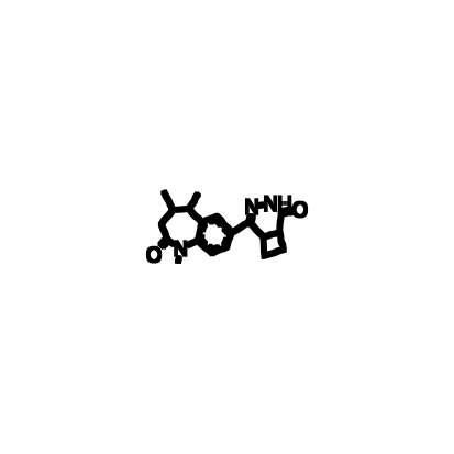 CC1CC(=O)N(C)c2ccc(C3=NNC(=O)C4CCC34)cc2C1C